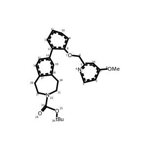 COc1ccnc(COc2ccccc2-c2ccc3c(c2)CCN(C(=O)OC(C)(C)C)CC3)c1